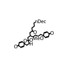 CCCCCCCCCCCCCC(=O)CC(CCCCC1(OC)C=CC(=O)C=C1)CC1(O)CCC2(C=CC(=O)C=C2)O1